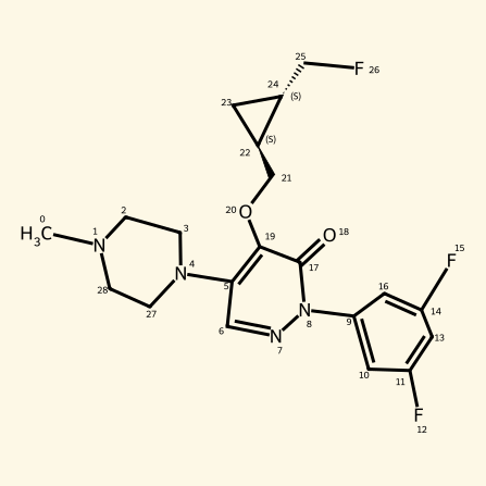 CN1CCN(c2cnn(-c3cc(F)cc(F)c3)c(=O)c2OC[C@H]2C[C@@H]2CF)CC1